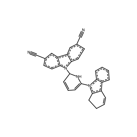 N#Cc1ccc2c(c1)c1cc(C#N)ccc1n2C1C=CC=C(n2c3c(c4ccccc42)C=CCC3)N1